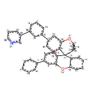 c1ccc(-c2ccc3c(c2)Oc2ccccc2C32c3ccccc3Oc3cc(-c4cccc(-c5cccnc5)c4)ccc32)cc1